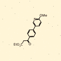 CCOC(=O)CC(=O)c1ccc(-c2ccc(OC)nc2)cc1